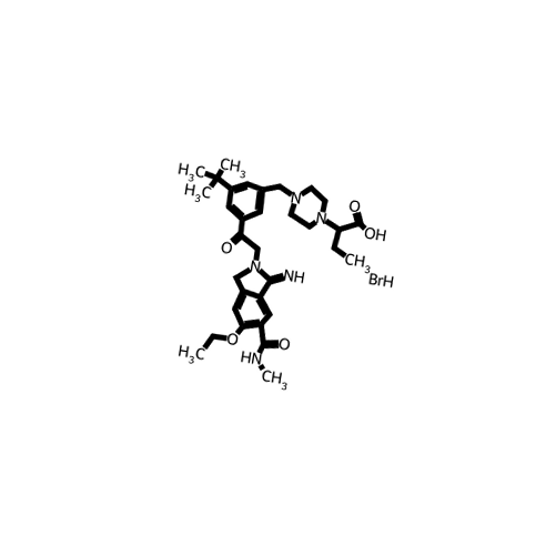 Br.CCOc1cc2c(cc1C(=O)NC)C(=N)N(CC(=O)c1cc(CN3CCN(C(CC)C(=O)O)CC3)cc(C(C)(C)C)c1)C2